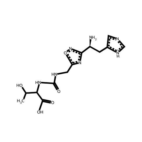 CC(O)C(NC(=O)NCc1nc([C@@H](N)Cc2cnc[nH]2)no1)C(=O)O